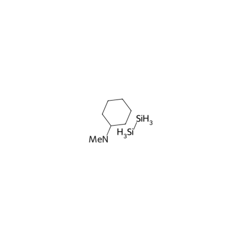 CNC1CCCCC1.[SiH3][SiH3]